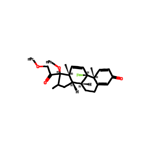 CCCOCC(=O)[C@@]1(OCCC)C(C)C[C@H]2[C@@H]3CCC4=CC(=O)C=C[C@]4(C)[C@@]3(F)C=C[C@@]21C